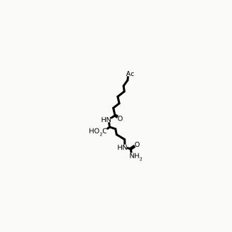 CC(=O)CCCCCCC(=O)NC(CCCNC(N)=O)C(=O)O